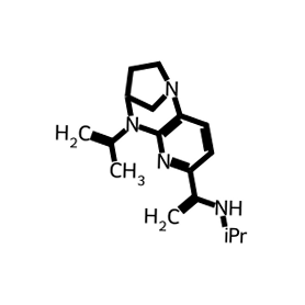 C=C(NC(C)C)c1ccc2c(n1)N(C(=C)C)C1CCN2C1